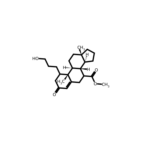 COC(=O)C1CC2=CC(=O)CC(CCCO)[C@]2(C)[C@H]2CC[C@]3(C)CCC[C@H]3[C@H]12